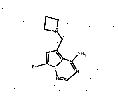 Nc1ncnn2c(Br)cc(CN3CCC3)c12